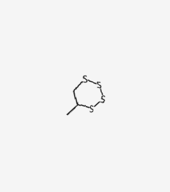 CC1CSSSS1